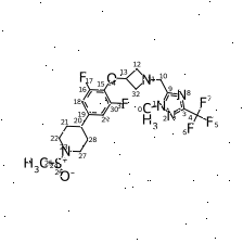 Cn1nc(C(F)(F)F)nc1CN1CC(Oc2c(F)cc(C3CCN([S+](C)[O-])CC3)cc2F)C1